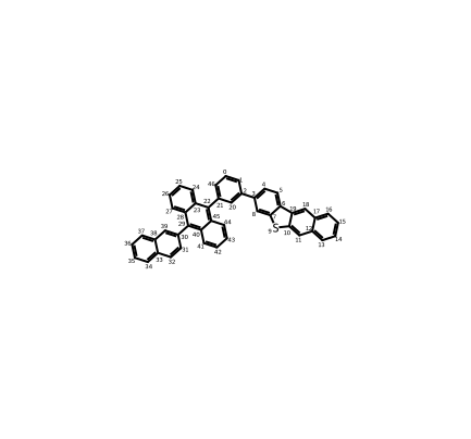 c1cc(-c2ccc3c(c2)sc2cc4ccccc4cc23)cc(-c2c3ccccc3c(-c3ccc4ccccc4c3)c3ccccc23)c1